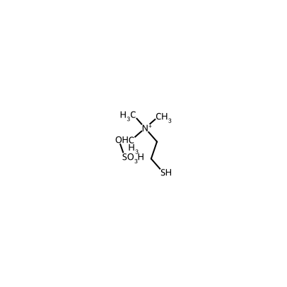 C[N+](C)(C)CCS.O=S(=O)(O)O